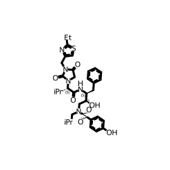 CCc1nc(CN2C(=O)CN([C@H](C(=O)N[C@@H](Cc3ccccc3)[C@@H](O)CN(CC(C)C)S(=O)(=O)c3ccc(O)cc3)C(C)C)C2=O)cs1